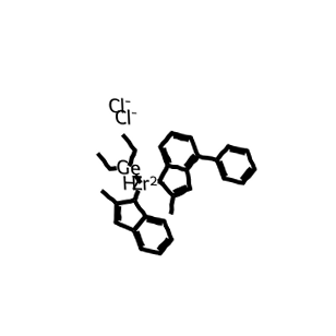 C[CH2][GeH]([CH2]C)[Zr+2]([CH]1C(C)=Cc2ccccc21)[CH]1C(C)=Cc2c(-c3ccccc3)cccc21.[Cl-].[Cl-]